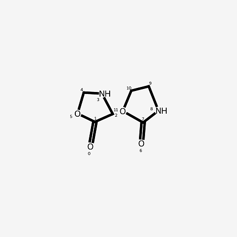 O=C1CNCO1.O=C1NCCO1